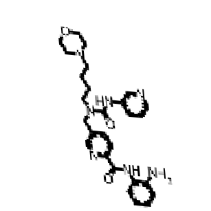 Nc1ccccc1NC(=O)c1ccc(CN(CCCCN2CCOCC2)C(=O)Nc2cccnc2)cn1